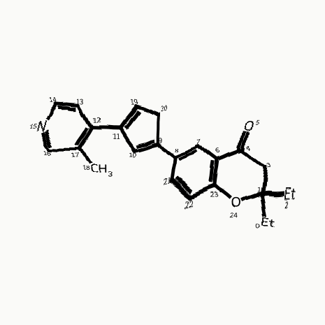 CCC1(CC)CC(=O)c2cc(C3=CC(c4ccncc4C)=CC3)ccc2O1